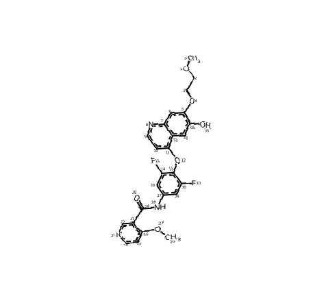 COCCOc1cc2nccc(Oc3c(F)cc(NC(=O)c4cnccc4OC)cc3F)c2cc1O